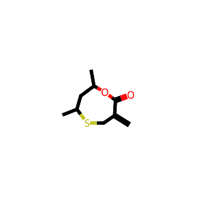 C=C1CSC(C)CC(C)OC1=O